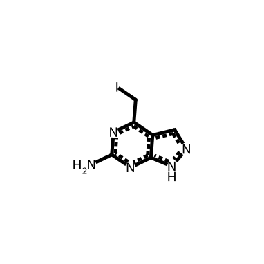 Nc1nc(CI)c2cn[nH]c2n1